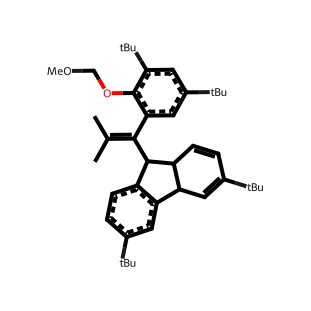 COCOc1c(C(=C(C)C)C2c3ccc(C(C)(C)C)cc3C3C=C(C(C)(C)C)C=CC32)cc(C(C)(C)C)cc1C(C)(C)C